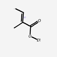 [CH2]/C=C(\C)C(=O)OCC